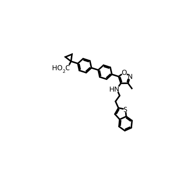 Cc1noc(-c2ccc(-c3ccc(C4(C(=O)O)CC4)cc3)cc2)c1NCCc1cc2ccccc2s1